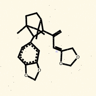 C=C(/C=C1\COCO1)C1C2CCC(C)(C1c1ccc3c(c1)OCO3)C2(C)C